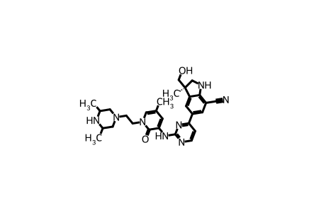 Cc1cc(Nc2nccc(-c3cc(C#N)c4c(c3)[C@@](C)(CO)CN4)n2)c(=O)n(CCN2CC(C)NC(C)C2)c1